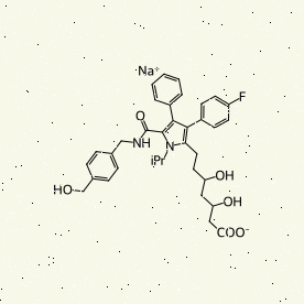 CC(C)n1c(CCC(O)CC(O)CC(=O)[O-])c(-c2ccc(F)cc2)c(-c2ccccc2)c1C(=O)NCc1ccc(CO)cc1.[Na+]